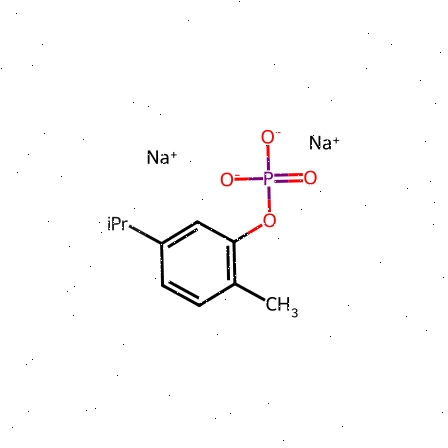 Cc1ccc(C(C)C)cc1OP(=O)([O-])[O-].[Na+].[Na+]